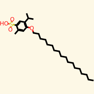 CCCCCCCCCCCCCCCCCCOc1cc(C)c(S(=O)(=O)O)cc1C(C)C